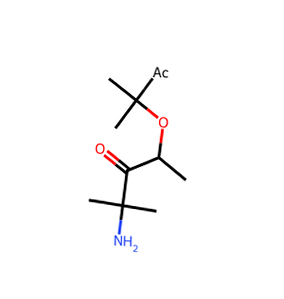 CC(=O)C(C)(C)OC(C)C(=O)C(C)(C)N